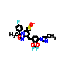 Cc1cn(-c2ccc(/C=C3\CC4(CN5C3=NOC5(C)c3ccc(F)cc3)C[S+]([O-])C4)c3c2OC(F)(F)O3)cn1